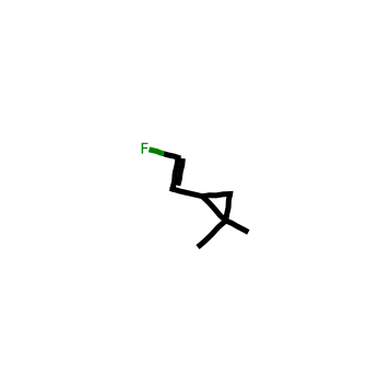 CC1(C)CC1/C=C/F